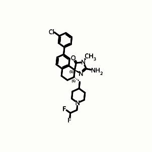 CN1C(=O)[C@@]2(N=C1N)c1cc(-c3cccc(Cl)c3)ccc1CC[C@H]2CC1CCN(CC(F)F)CC1